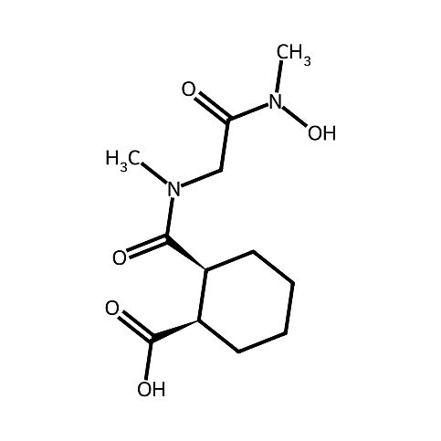 CN(O)C(=O)CN(C)C(=O)[C@H]1CCCC[C@H]1C(=O)O